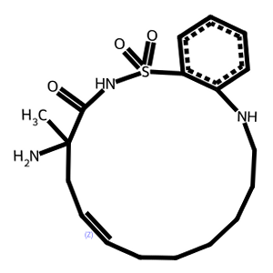 CC1(N)C/C=C\CCCCCCNc2ccccc2S(=O)(=O)NC1=O